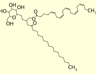 CC/C=C\C/C=C\C/C=C\C/C=C\C/C=C\CCCC(=O)OCC(CCC1OC(CO)C(O)C(O)C1O)CC(=O)CCCCCCCCCCCCCCC